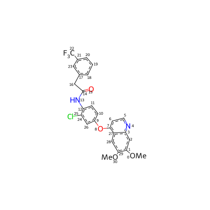 COc1cc2nccc(Oc3ccc(NC(=O)Cc4cccc(C(F)(F)F)c4)c(Cl)c3)c2cc1OC